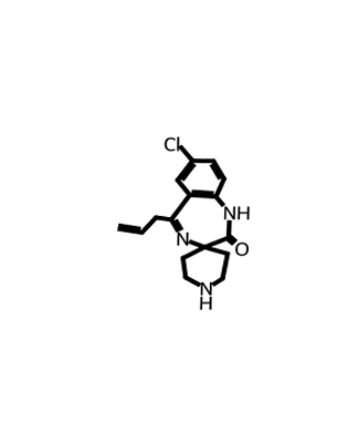 C=CCC1=NC2(CCNCC2)C(=O)Nc2ccc(Cl)cc21